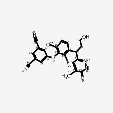 Cc1cc(C(CCO)c2ccc(Cl)c(Oc3cc(C#N)cc(C#N)c3)c2F)n[nH]c1=O